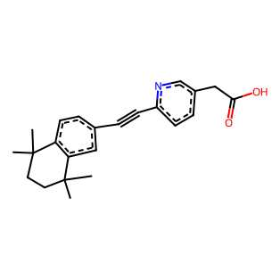 CC1(C)CCC(C)(C)c2cc(C#Cc3ccc(CC(=O)O)cn3)ccc21